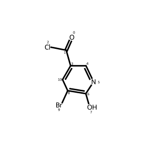 O=C(Cl)c1cnc(O)c(Br)c1